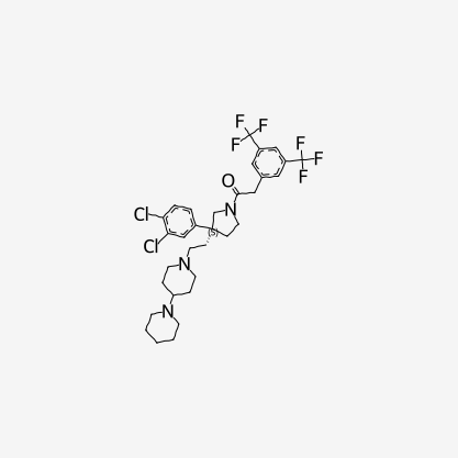 O=C(Cc1cc(C(F)(F)F)cc(C(F)(F)F)c1)N1CC[C@@](CCN2CCC(N3CCCCC3)CC2)(c2ccc(Cl)c(Cl)c2)C1